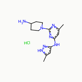 Cc1cc(Nc2cc(C)[nH]n2)nc(N2CCC(N)CC2)n1.Cl